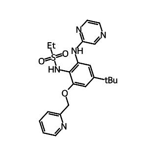 CCS(=O)(=O)Nc1c(Nc2cnccn2)cc(C(C)(C)C)cc1OCc1ccccn1